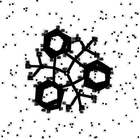 CC[Si](CC)(CC)[C](c1ccccc1)(c1ccccc1)[Cr]([C](c1ccccc1)(c1ccccc1)[Si](CC)(CC)CC)[C](c1ccccc1)(c1ccccc1)[Si](CC)(CC)CC